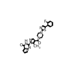 Cc1c(C(=O)N2CCN(c3ncc(-c4ccccc4F)s3)CC2)cnn1-c1nn2cccc2c(=O)[nH]1